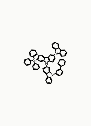 c1ccc(-c2cccc(-n3c4ccccc4c4ccc(-n5c6ccc(-n7c8ccccc8c8ccccc87)cc6c6ccc([Si](c7ccccc7)(c7ccccc7)c7ccccc7)cc65)cc43)c2)cc1